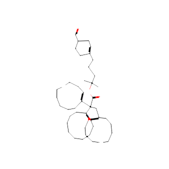 CC(C)(CCCC1=CCC(C=O)CC1)OC(=O)C(C/C1=C/CCCCCCCC1)(/C1=C/CCCCCCCC1)/C1=C/CCCCCCCC1